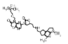 Cc1nc2c(c3c1CC(CNCCC1CN(c4cnc5c(n4)N(COCC[Si](C)(C)C)C(=O)CO5)C(=O)O1)C3)CCN2C